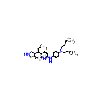 C=CCCN(CCC)c1ccc(NC(/C=C\C(=C)/C(=C\C)C2CCNC2)=N/C)cc1